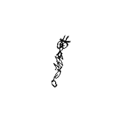 CC1(C)OB(c2cnn(Cc3ncc(OCc4ccccc4)cn3)c2)OC1(C)C